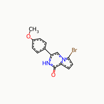 COc1ccc(-c2cn3c(Br)ccc3c(=O)[nH]2)cc1